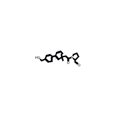 C/C=C\C(=C/C(C)(C)CC(=O)N1CCCC1C=O)c1ccc(CO)cc1